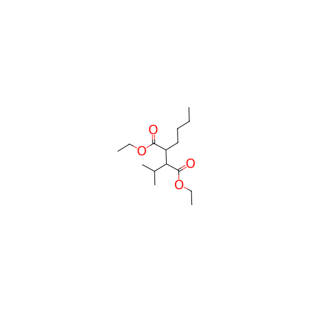 CCCCC(C(=O)OCC)C(C(=O)OCC)C(C)C